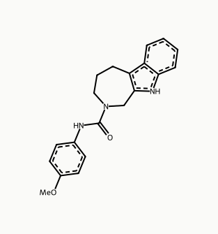 COc1ccc(NC(=O)N2CCCc3c([nH]c4ccccc34)C2)cc1